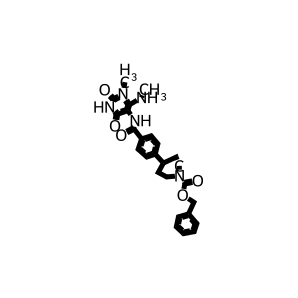 CNc1c(NC(=O)c2ccc(C3CCN(C(=O)OCc4ccccc4)CC3)cc2)c(=O)[nH]c(=O)n1C